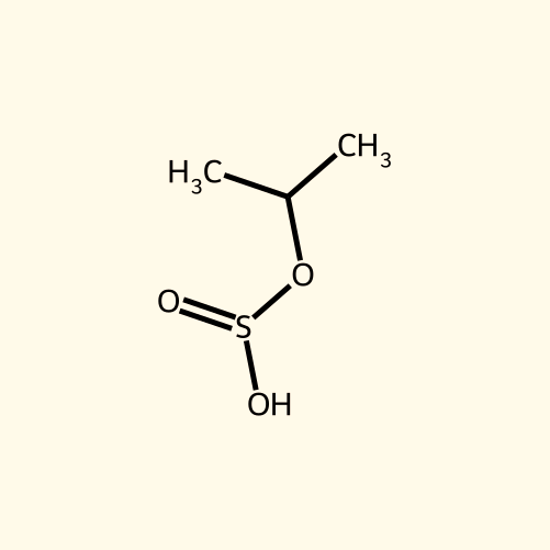 CC(C)OS(=O)O